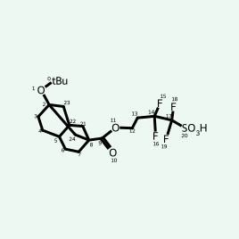 CC(C)(C)OC12CCC3CCC(C(=O)OCCC(F)(F)C(F)(F)S(=O)(=O)O)(CC3C1)C2